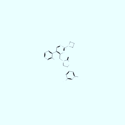 C[C@H]1[C@@H](c2cc(C(F)(F)F)cc(C(F)(F)F)c2)OC(=O)N1Cc1nc(N2CCC2)ncc1-c1ccccc1Cl